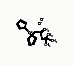 C=C(C[C]1([Zr+2][CH]2C=CC=C2)C=CC=C1)C[Si](C)(C)C.[Cl-].[Cl-]